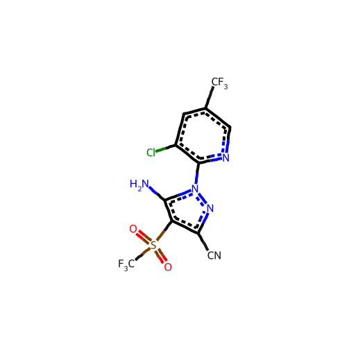 N#Cc1nn(-c2ncc(C(F)(F)F)cc2Cl)c(N)c1S(=O)(=O)C(F)(F)F